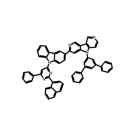 c1ccc(-c2cc(-c3ccccc3)cc(-n3c4ccncc4c4cnc(-c5ccc6c(c5)c5ccccc5n6-c5cc(-c6ccccc6)nc(-c6cccc7ccccc67)n5)cc43)c2)cc1